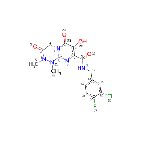 CN1C(=O)Cn2c(nc(C(=O)NCc3ccc(F)c(Cl)c3)c(O)c2=O)N1C